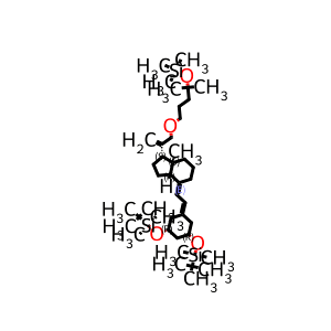 C=C(COCCCC(C)(C)O[Si](C)(C)C)[C@H]1CC[C@H]2/C(=C/C=C3C[C@@H](O[Si](C)(C)C(C)(C)C)C[C@H](O[Si](C)(C)C(C)(C)C)C3)CCC[C@]12C